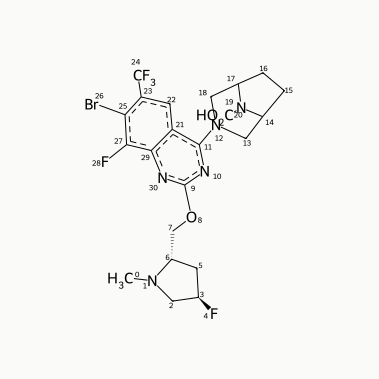 CN1C[C@H](F)C[C@H]1COc1nc(N2CC3CCC(C2)N3C(=O)O)c2cc(C(F)(F)F)c(Br)c(F)c2n1